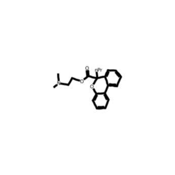 CCCC1(C(=O)OCCN(C)C)Oc2ccccc2-c2ccccc21